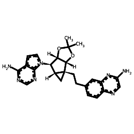 CC1(C)O[C@H]2[C@H](n3ccc4c(N)ncnc43)[C@H]3C[C@@]3(CCc3ccc4ncc(N)nc4c3)[C@H]2O1